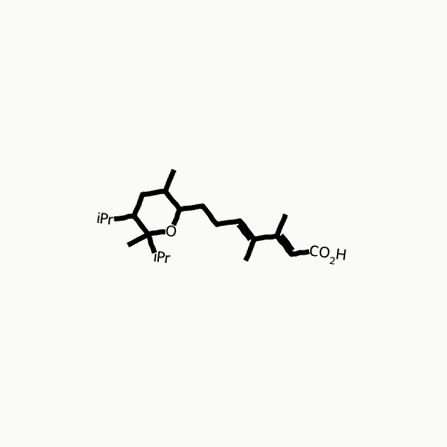 CC(=C\CCC1OC(C)(C(C)C)C(C(C)C)CC1C)/C(C)=C/C(=O)O